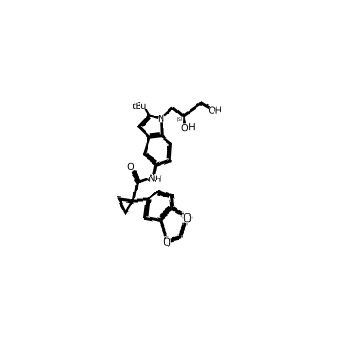 CC(C)(C)c1cc2cc(NC(=O)C3(c4ccc5c(c4)OCO5)CC3)ccc2n1C[C@H](O)CO